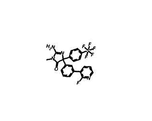 CN1C(=O)C(c2ccc(S(F)(F)(F)(F)F)cc2)(c2cccc(-c3cccnc3F)c2)N=C1N